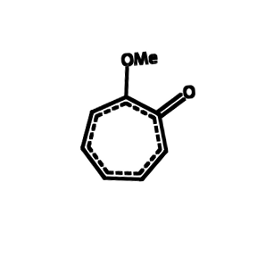 COc1cccccc1=O